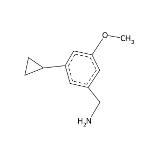 COc1cc(CN)cc(C2CC2)c1